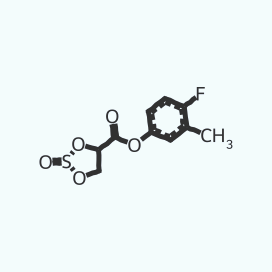 Cc1cc(OC(=O)C2COS(=O)O2)ccc1F